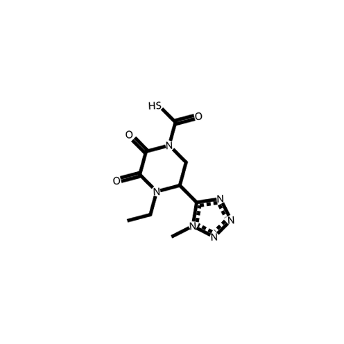 CCN1C(=O)C(=O)N(C(=O)S)CC1c1nnnn1C